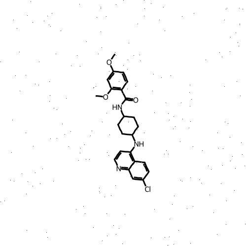 COc1ccc(C(=O)NC2CCC(Nc3ccnc4cc(Cl)ccc34)CC2)c(OC)c1